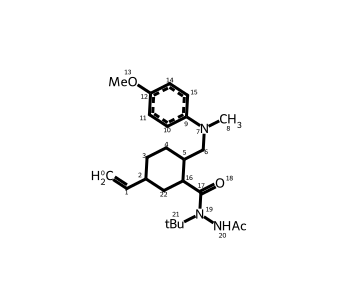 C=CC1CCC(CN(C)c2ccc(OC)cc2)C(C(=O)N(NC(C)=O)C(C)(C)C)C1